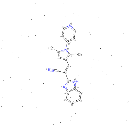 Cc1cc(C=C(C#N)c2nc3ccccc3[nH]2)c(C)n1-c1ccncc1